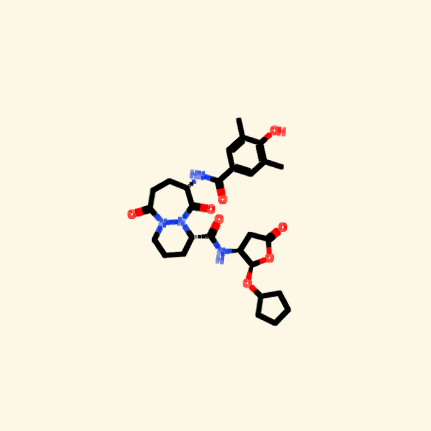 Cc1cc(C(=O)N[C@H]2CCC(=O)N3CCC[C@@H](C(=O)N[C@H]4CC(=O)O[C@H]4OC4CCCC4)N3C2=O)cc(C)c1O